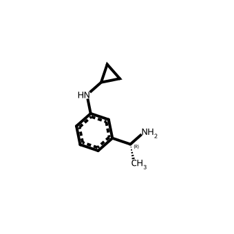 C[C@@H](N)c1cccc(NC2CC2)c1